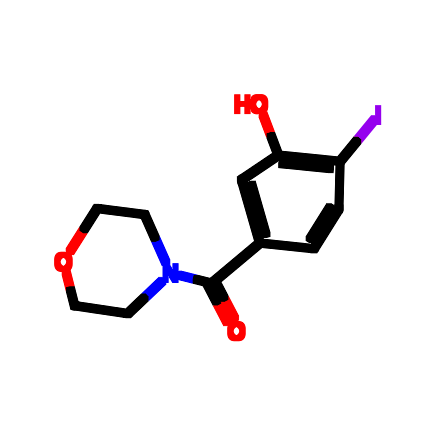 O=C(c1ccc(I)c(O)c1)N1CCOCC1